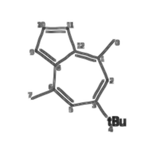 Cc1cc(C(C)(C)C)cc(C)c2cccc1-2